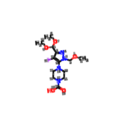 COCn1nc(C(OC)OC)c(I)c1N1CCN(C(=O)O)CC1